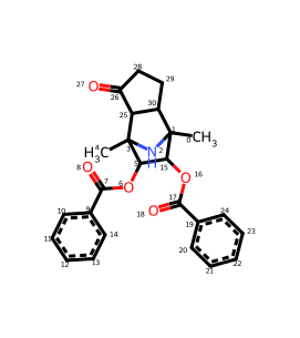 CC12NC(C)(C(OC(=O)c3ccccc3)C1OC(=O)c1ccccc1)C1C(=O)CCC12